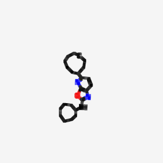 B(c1nc2ccc(C3CCCCCCCC3)nc2o1)C1CCCCCCC1